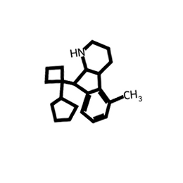 Cc1cccc2c1C1CCCNC1C2C1(C2CCCC2)CCC1